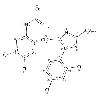 CCC(=O)Nc1ccc(Cl)c(Cl)c1.O=C(O)c1nc(C(Cl)(Cl)Cl)n(-c2ccc(Cl)cc2Cl)n1